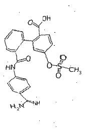 CS(=O)(=O)Oc1ccc(C(=O)O)c(-c2ccccc2C(=O)Nc2ccc(C(=N)N)cc2)c1